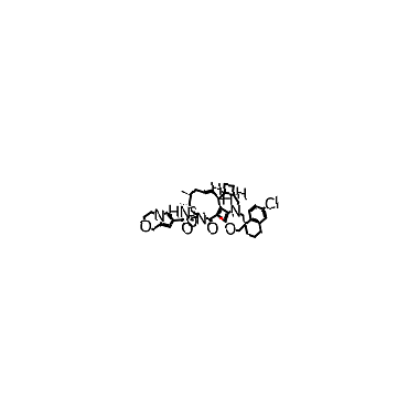 C[C@@H]1[C@@H](C)C/C=C/[C@@H]2c3c(ccc4c3N(C[C@@H]3CC[C@H]32)C[C@@]2(CCCc3cc(Cl)ccc32)CO4)C(=O)N=S1(=O)NC(=O)c1cc2n(c1)CCOC2